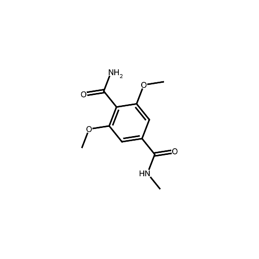 CNC(=O)c1cc(OC)c(C(N)=O)c(OC)c1